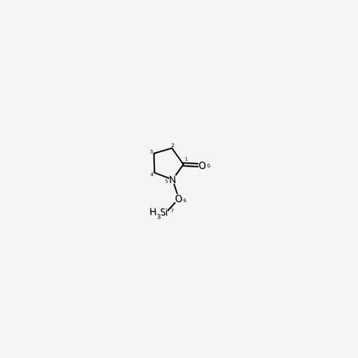 O=C1CCCN1O[SiH3]